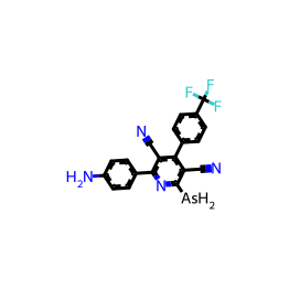 N#Cc1c([AsH2])nc(-c2ccc(N)cc2)c(C#N)c1-c1ccc(C(F)(F)F)cc1